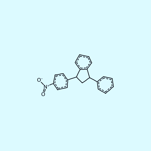 O=[N+]([O-])c1ccc(C2CC(c3ccccc3)c3ccccc32)cc1